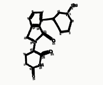 CC(C)(C)N1CCCC(c2cccc3c2C(=O)N(C2CCC(=O)NC2=O)C3)C1